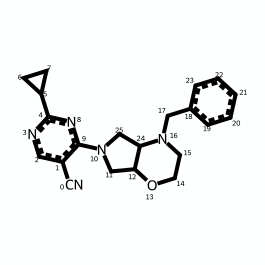 N#Cc1cnc(C2CC2)nc1N1CC2OCCN(Cc3ccccc3)C2C1